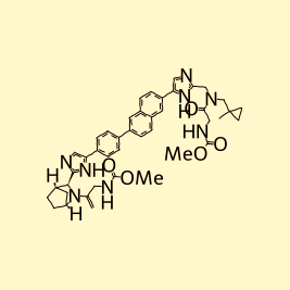 C=C(CNC(=O)OC)N1[C@@H]2CC[C@@H](C2)[C@H]1c1ncc(-c2ccc(-c3ccc4cc(-c5cnc(CN(CC6(C)CC6)C(=O)CNC(=O)OC)[nH]5)ccc4c3)cc2)[nH]1